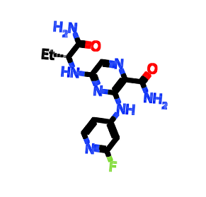 CC[C@@H](Nc1cnc(C(N)=O)c(Nc2ccnc(F)c2)n1)C(N)=O